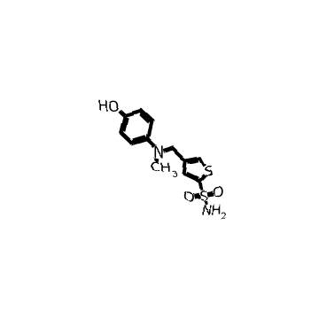 CN(Cc1csc(S(N)(=O)=O)c1)c1ccc(O)cc1